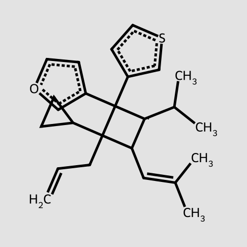 C=CCC1(C2CC2)C(C=C(C)C)[C](C(C)C)C1(c1ccoc1)c1ccsc1